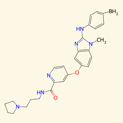 Bc1ccc(Nc2nc3cc(Oc4ccnc(C(=O)NCCCN5CCCC5)c4)ccc3n2C)cc1